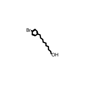 OCCCCCCCCCCc1ccc(Br)cc1